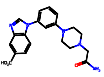 NC(=O)CN1CCN(c2cccc(-n3cnc4cc(C(=O)O)ccc43)c2)CC1